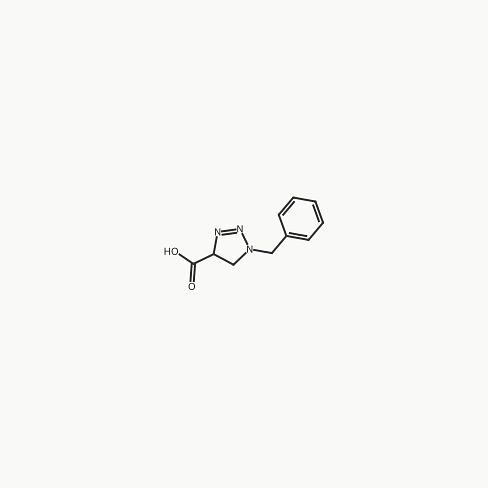 O=C(O)C1CN(Cc2ccccc2)N=N1